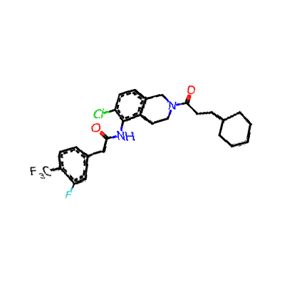 O=C(Cc1ccc(C(F)(F)F)c(F)c1)Nc1c(Cl)ccc2c1CCN(C(=O)CCC1CCCCC1)C2